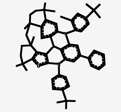 Cc1cc(C(C)(C)C)ccc1N1c2cc3c4cc2B2c5c1cc(-c1ccccc1)cc5N(c1ccc(C(C)(C)C)cc1)c1oc5c(c12)C(C)(CCC5(C)C)CC4(C)CCC3(C)C